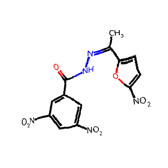 C/C(=N/NC(=O)c1cc([N+](=O)[O-])cc([N+](=O)[O-])c1)c1ccc([N+](=O)[O-])o1